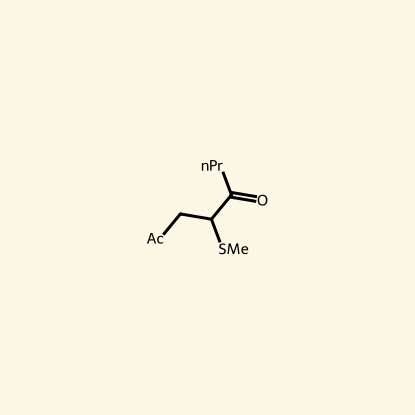 CCCC(=O)C(CC(C)=O)SC